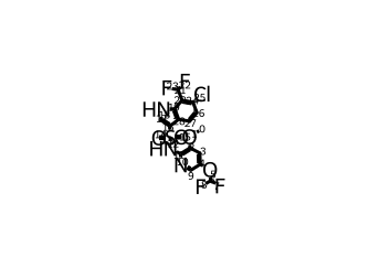 COc1cc(OC(F)F)cnc1NS(=O)(=O)c1c[nH]c2c(C(F)F)c(Cl)ccc12